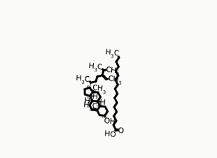 CC=C(CCC(C)[C@H]1CC[C@H]2[C@@H]3CC=C4C[C@@H](O)CC[C@]4(C)[C@H]3CC[C@]12C)C(C)C.CCCCCCCCCCCCCCCCCC(=O)O